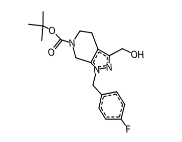 CC(C)(C)OC(=O)N1CCc2c(CO)nn(Cc3ccc(F)cc3)c2C1